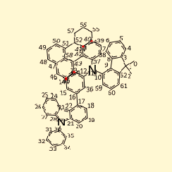 CC1(C)c2ccccc2-c2c(N(c3cccc(-c4cccc5c4c4ccccc4n5-c4ccccc4)c3)c3ccccc3-c3cccc4cccc(C5CCCCC5)c34)cccc21